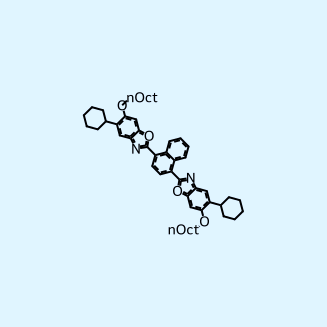 CCCCCCCCOc1cc2oc(-c3ccc(-c4nc5cc(C6CCCCC6)c(OCCCCCCCC)cc5o4)c4ccccc34)nc2cc1C1CCCCC1